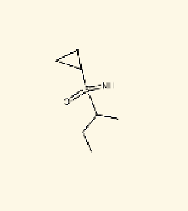 CCC(C)S(=N)(=O)C1CC1